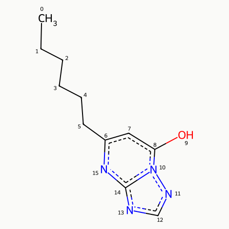 CCCCCCc1cc(O)n2ncnc2n1